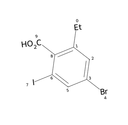 CCc1cc(Br)cc(I)c1C(=O)O